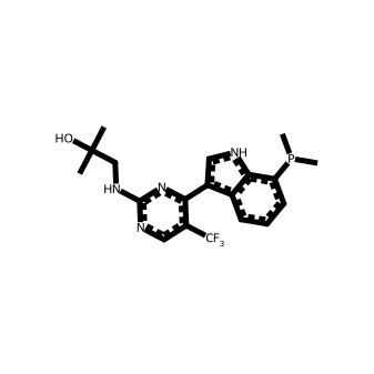 CP(C)c1cccc2c(-c3nc(NCC(C)(C)O)ncc3C(F)(F)F)c[nH]c12